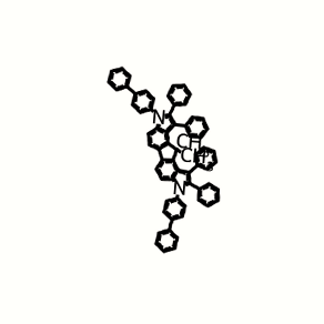 CC1(C)c2c(ccc3c2c(-c2ccccc2)c(-c2ccccc2)n3-c2ccc(-c3ccccc3)cc2)-c2ccc3c(c(-c4ccccc4)c(-c4ccccc4)n3-c3ccc(-c4ccccc4)cc3)c21